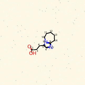 O=C(O)CCc1cnc2n1CCCCC2